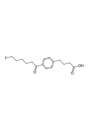 O=C(O)CCCc1ccc(C(=O)CCCCCF)cc1